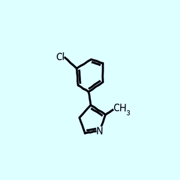 CC1=C(c2cccc(Cl)c2)CC=N1